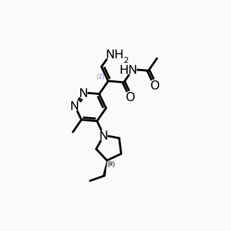 CC[C@@H]1CCN(c2cc(/C(=C/N)C(=O)NC(C)=O)nnc2C)C1